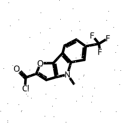 Cn1c2cc(C(F)(F)F)ccc2c2oc(C(=O)Cl)cc21